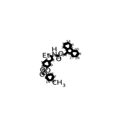 CCC(Cc1cccc(OS(=O)(=O)c2ccc(C)cc2)c1)NC(=O)OCC1c2ccccc2-c2ccccc21